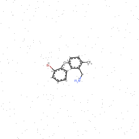 NCc1ccccc1C(F)(F)F.O=Cc1ccccc1Br